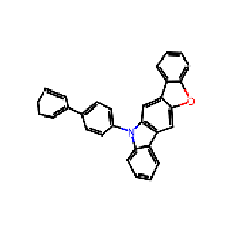 C1=CC(c2ccc(-n3c4ccccc4c4cc5oc6ccccc6c5cc43)cc2)=CCC1